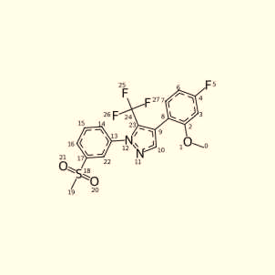 COc1cc(F)ccc1-c1cnn(-c2cccc(S(C)(=O)=O)c2)c1C(F)(F)F